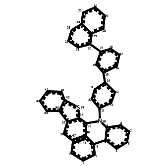 c1ccc(-c2ccccc2N(c2ccc(-c3cccc(-c4cccc5ccccc45)c3)cc2)c2cccc3c2sc2ccccc23)cc1